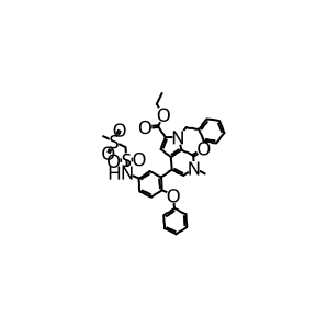 CCOC(=O)c1cc2c(-c3cc(NS(=O)(=O)CS(C)(=O)=O)ccc3Oc3ccccc3)cn(C)c(=O)c2n1Cc1ccccc1